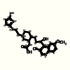 COc1ccc2ncc(Cl)c([C@H](O)CCC3CCN(CCSc4ccc(F)s4)CC3CC(=O)O)c2c1